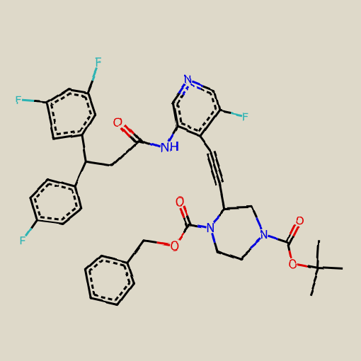 CC(C)(C)OC(=O)N1CCN(C(=O)OCc2ccccc2)C(C#Cc2c(F)cncc2NC(=O)CC(c2ccc(F)cc2)c2cc(F)cc(F)c2)C1